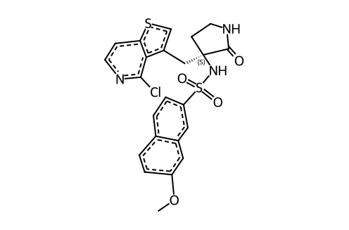 COc1ccc2ccc(S(=O)(=O)N[C@@]3(Cc4csc5ccnc(Cl)c45)CCNC3=O)cc2c1